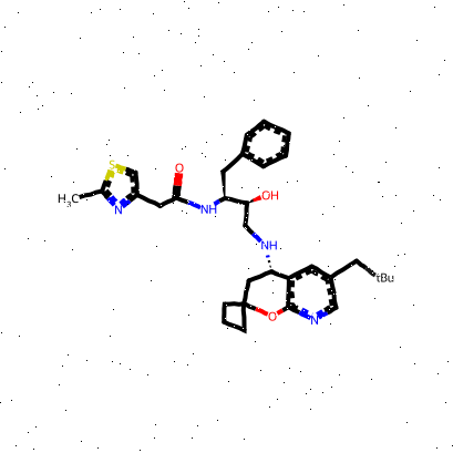 Cc1nc(CC(=O)N[C@@H](Cc2ccccc2)[C@@H](O)CN[C@H]2CC3(CCC3)Oc3ncc(CC(C)(C)C)cc32)cs1